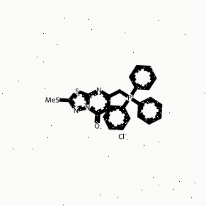 CSc1nn2c(=O)cc(C[P+](c3ccccc3)(c3ccccc3)c3ccccc3)nc2s1.[Cl-]